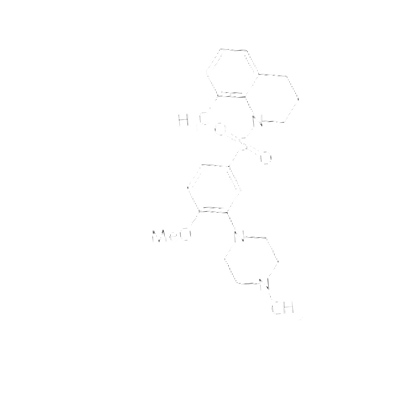 COc1ccc(S(=O)(=O)N2CCCc3cccc(C)c32)cc1N1CCN(C)CC1